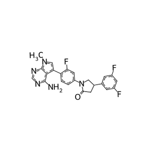 Cn1cc(-c2ccc(N3CC(c4cc(F)cc(F)c4)CC3=O)cc2F)c2c(N)ncnc21